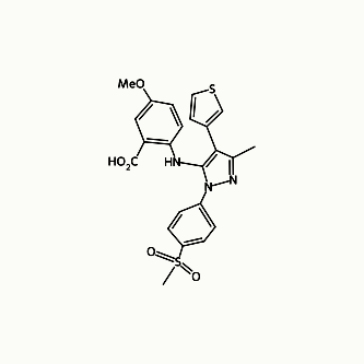 COc1ccc(Nc2c(-c3ccsc3)c(C)nn2-c2ccc(S(C)(=O)=O)cc2)c(C(=O)O)c1